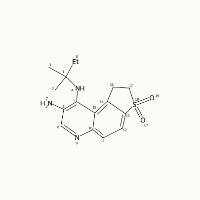 CCC(C)(C)Nc1c(N)cnc2ccc3c(c12)CCS3(=O)=O